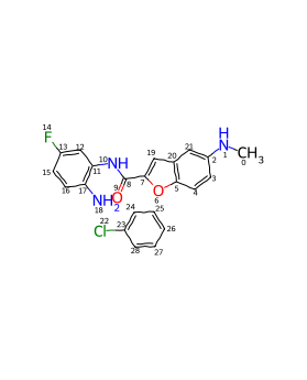 CNc1ccc2oc(C(=O)Nc3cc(F)ccc3N)cc2c1.Clc1ccccc1